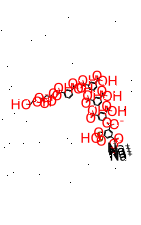 O=C(O)c1cccc(C(=O)O)c1.O=C(O)c1cccc(C(=O)O)c1.O=C(O)c1cccc(C(=O)O)c1.O=C(O)c1cccc(C(=O)O)c1.O=C([O-])CC(=O)[O-].O=C([O-])c1cc(C(=O)[O-])cc(S(=O)(=O)O)c1.OCCO.[Na+].[Na+].[Na+].[Na+]